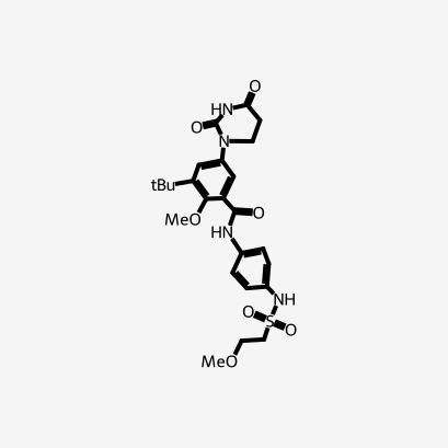 COCCS(=O)(=O)Nc1ccc(NC(=O)c2cc(N3CCC(=O)NC3=O)cc(C(C)(C)C)c2OC)cc1